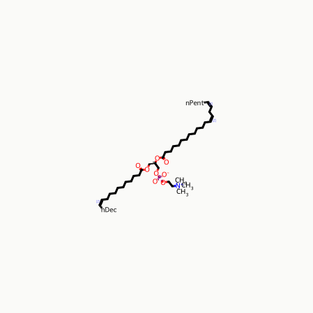 CCCCC/C=C\C/C=C\CCCCCCCCCCCC(=O)O[C@H](COC(=O)CCCCCCCCC/C=C\CCCCCCCCCC)COP(=O)([O-])OCC[N+](C)(C)C